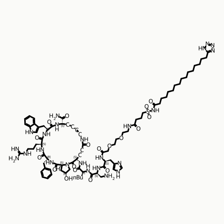 CCCC[C@H](NC(=O)[C@H](CN)NC(=O)[C@H](Cc1c[nH]cn1)NC(=O)COCCOCCNC(=O)CCCS(=O)(=O)NC(=O)CCCCCCCCCCCCCCCc1nnn[nH]1)C(=O)N[C@H]1CCC(=O)NCCCC[C@@H](C(N)=O)NC(=O)[C@H](Cc2c[nH]c3ccccc23)NC(=O)[C@H](CCCNC(=N)N)NC(=O)[C@@H](Cc2ccccc2)NC(=O)[C@@H]2C[C@@H](O)CN2C1=O